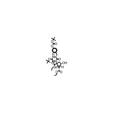 CCOC(=O)[C@H]1[C@H]2[C@@H]1[C@](NC(=O)[C@H](Cc1ccc(OC(=O)OC(C)(C)C)cc1)NC(=O)OC(C)(C)C)(C(=O)OCC)C[C@@H]2O